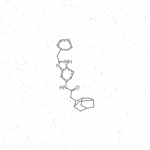 O=C(CC1C2CC3CC(C2)CC1C3)Nc1ccc2[nH]c(Cc3ccccc3)nc2c1